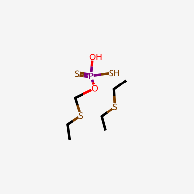 CCSCC.CCSCOP(O)(=S)S